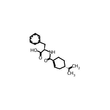 C=C(C)[C@@H]1CC=C(C(=O)N[C@H](Cc2ccccc2)C(=O)O)CC1